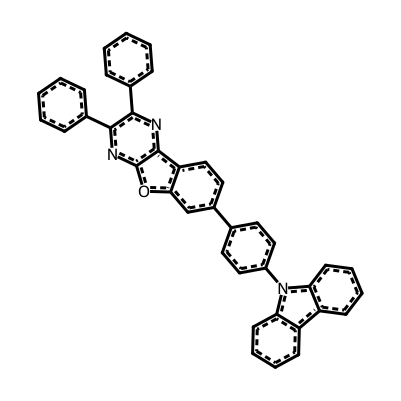 c1ccc(-c2nc3oc4cc(-c5ccc(-n6c7ccccc7c7ccccc76)cc5)ccc4c3nc2-c2ccccc2)cc1